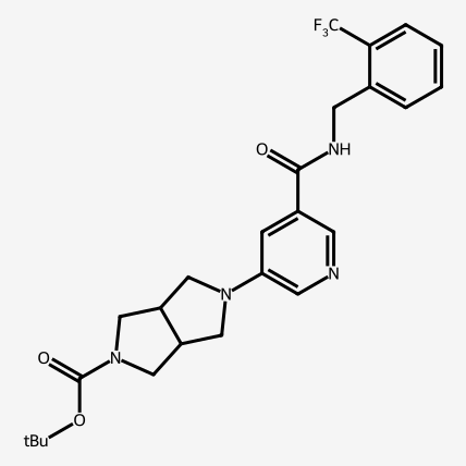 CC(C)(C)OC(=O)N1CC2CN(c3cncc(C(=O)NCc4ccccc4C(F)(F)F)c3)CC2C1